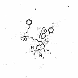 CCC[C@@](O)(C(=O)OC(C)(C)C)[C@H](/C=C/CCCCC1(CCCCc2ccccc2)OCCO1)C(=O)N[C@@H](Cc1ccc(O)cc1)C(=O)OC